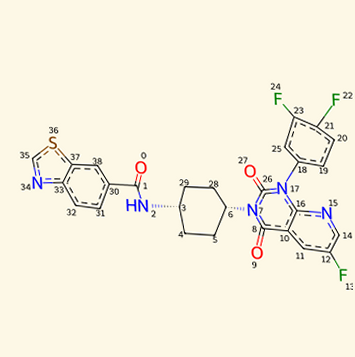 O=C(N[C@H]1CC[C@@H](n2c(=O)c3cc(F)cnc3n(-c3ccc(F)c(F)c3)c2=O)CC1)c1ccc2ncsc2c1